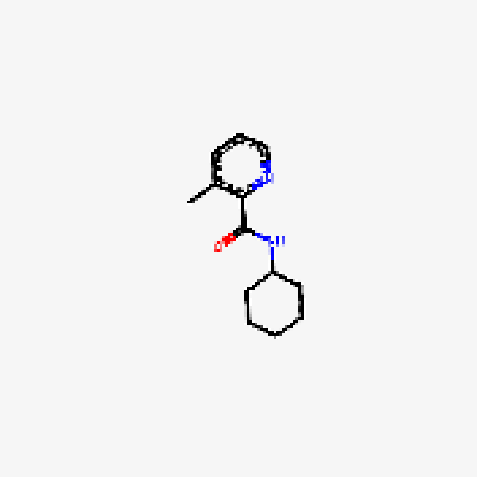 Cc1cccnc1C(=O)NC1CCCCC1